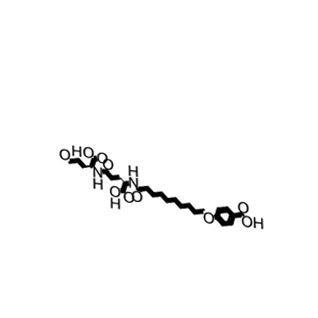 O=CCC[C@H](NC(=O)CC[C@H](NC(=O)CCCCCCCCCOc1ccc(C(=O)O)cc1)C(=O)O)C(=O)O